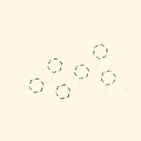 Cc1cc(C(c2cc(C)c(O)cc2C)c2cc(Cc3cc(C)c(O)c(C(c4cc(C)c(O)cc4C)c4cc(C)c(O)cc4C)c3)cc(C)c2O)c(C)cc1O